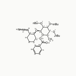 CCCCOC1C(OCCCC)[C@H](OCCCC)C(C)O[C@H]1O[C@@H]1C(N=[N+]=[N-])CCC[C@H]1OC(=O)c1ccccc1